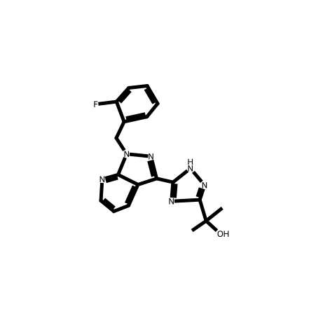 CC(C)(O)c1n[nH]c(-c2nn(Cc3ccccc3F)c3ncccc23)n1